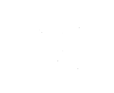 CC1C(OC(=O)C(C)(C)C)OC(COC(=O)C(C)(C)C)C(F)C1C